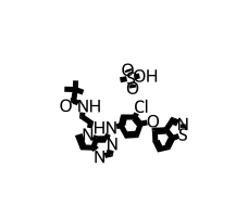 CC(C)(C)C(=O)NCCn1ccc2ncnc(Nc3ccc(Oc4cccc5sncc45)c(Cl)c3)c21.CS(=O)(=O)O